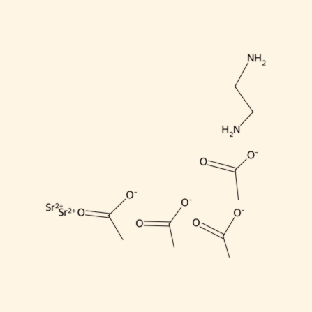 CC(=O)[O-].CC(=O)[O-].CC(=O)[O-].CC(=O)[O-].NCCN.[Sr+2].[Sr+2]